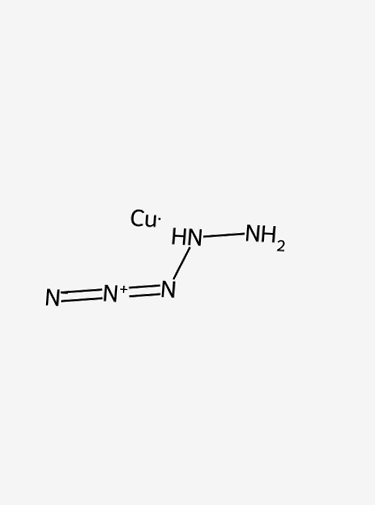 [Cu].[N-]=[N+]=NNN